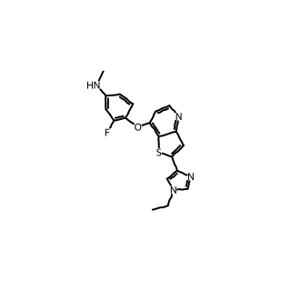 CCn1cnc(-c2cc3nccc(Oc4ccc(NC)cc4F)c3s2)c1